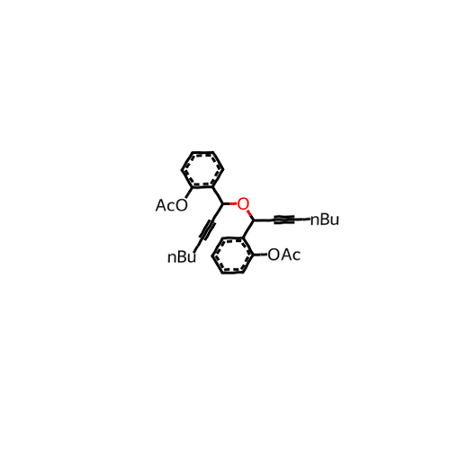 CCCCC#CC(OC(C#CCCCC)c1ccccc1OC(C)=O)c1ccccc1OC(C)=O